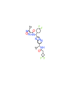 O=C(CC1CC(F)(F)C1)N[C@@H](c1cnn2cc([C@@H](NC(=O)c3nonc3C3CC3)C3CCC(F)(F)CC3)nc2c1)C1CC1